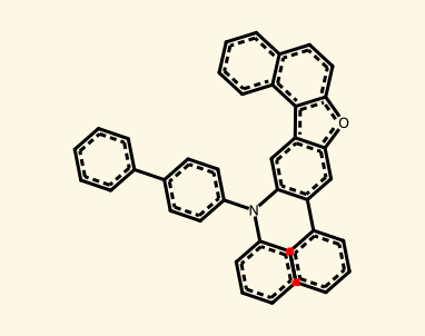 c1ccc(-c2ccc(N(c3ccccc3)c3cc4c(cc3-c3ccccc3)oc3ccc5ccccc5c34)cc2)cc1